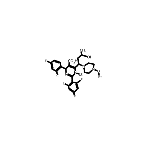 CCON1CCN(C(CC(C)O)C2=C(C(=O)O)C(c3ccc(F)cc3Cl)N=C(c3c(F)cc(F)cc3F)N2CC)CC1